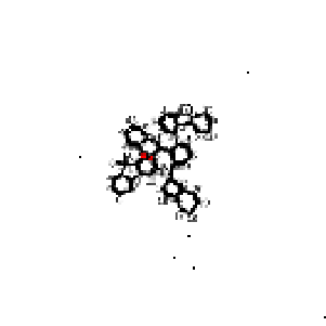 CC1(C)c2ccccc2-c2cc(N(c3ccc4ccccc4c3)c3cccc(-c4cccc5oc6ccccc6c45)c3-c3ccc4ccccc4c3)ccc21